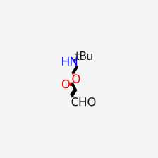 CC(C)(C)NCCOC(=O)/C=C/C=O